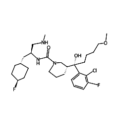 CNC[C@H](C[C@H]1CC[C@H](F)CC1)NC(=O)N1CCC[C@@H]([C@@](O)(CCCCOC)c2cccc(F)c2Cl)C1